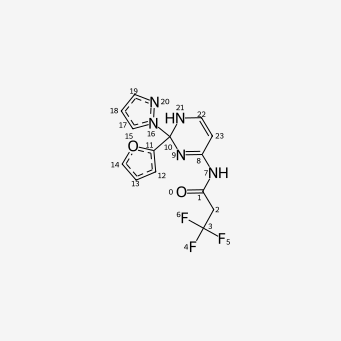 O=C(CC(F)(F)F)NC1=NC(c2ccco2)(n2cccn2)NC=C1